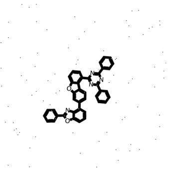 c1ccc(-c2nc(-c3ccccc3)nc(-c3cccc4oc5cc(-c6cccc7oc(-c8ccccc8)nc67)ccc5c34)n2)cc1